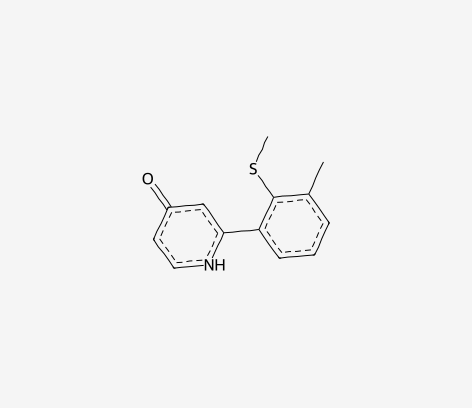 CSc1c(C)cccc1-c1cc(=O)cc[nH]1